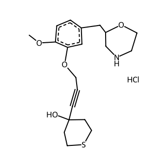 COc1ccc(CC2CNCCO2)cc1OCC#CC1(O)CCSCC1.Cl